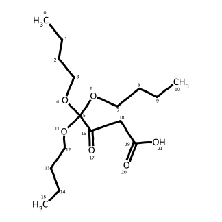 CCCCOC(OCCCC)(OCCCC)C(=O)CC(=O)O